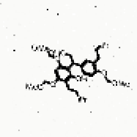 COCOc1ccc(C(CC=O)c2c(OCOC)cc(OCOC)c(CCC(C)C)c2O)cc1CCC(C)C